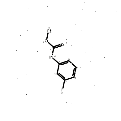 CCOC(=S)Nc1cccc(F)c1